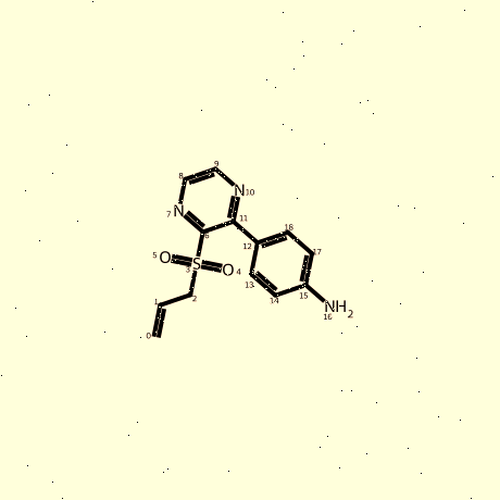 C=CCS(=O)(=O)c1nccnc1-c1ccc(N)cc1